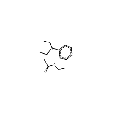 CCN(CC)c1ccccc1.CCOC(C)=O